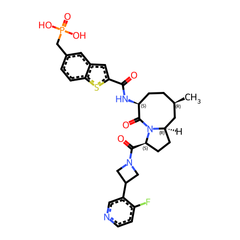 C[C@@H]1CC[C@H](NC(=O)c2cc3cc(CP(=O)(O)O)ccc3s2)C(=O)N2[C@H](CC[C@H]2C(=O)N2CC(c3cnccc3F)C2)C1